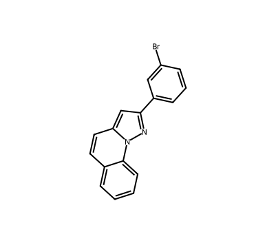 Brc1cccc(-c2cc3ccc4ccccc4n3n2)c1